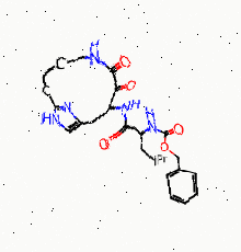 CC(C)CC(NC(=O)OCc1ccccc1)C(=O)NC1Cc2c[nH]c(n2)CCCCNC(=O)C1=O